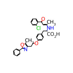 C/C(=C\C(=O)c1ccccc1Cl)N[C@@H](Cc1ccc(OCCc2nc(-c3ccccc3)oc2C)cc1)C(=O)O